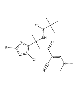 CN(C)C=C(C#N)C(=O)CC(C)(N[S+]([O-])C(C)(C)C)c1sc(Br)cc1Cl